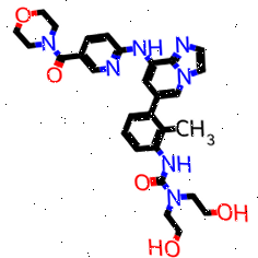 Cc1c(NC(=O)N(CCO)CCO)cccc1-c1cc(Nc2ccc(C(=O)N3CCOCC3)cn2)c2nccn2c1